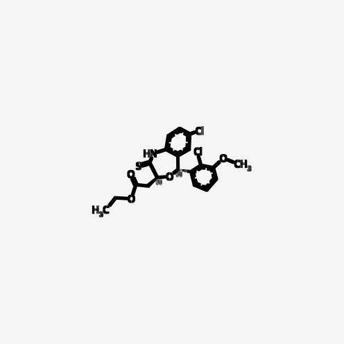 CCOC(=O)C[C@@H]1O[C@@H](c2cccc(OC)c2Cl)c2cc(Cl)ccc2NC1=S